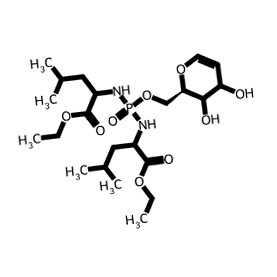 CCOC(=O)C(CC(C)C)NP(=O)(NC(CC(C)C)C(=O)OCC)OC[C@H]1OC=CC(O)C1O